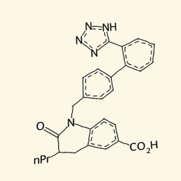 CCCC1Cc2cc(C(=O)O)ccc2N(Cc2ccc(-c3ccccc3-c3nnn[nH]3)cc2)C1=O